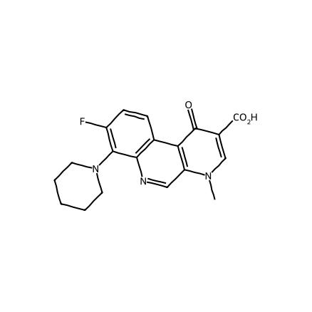 Cn1cc(C(=O)O)c(=O)c2c3ccc(F)c(N4CCCCC4)c3ncc21